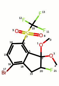 COC1(OC)c2c(S(=O)(=O)C(F)(F)F)ccc(Br)c2CC1F